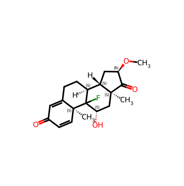 CO[C@@H]1C[C@H]2[C@@H]3CCC4=CC(=O)C=C[C@]4(C)C3(F)[C@@H](O)C[C@]2(C)C1=O